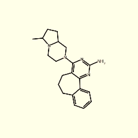 CC1CCC2CN(c3nc(N)nc4c3CCCc3ccccc3-4)CCN12